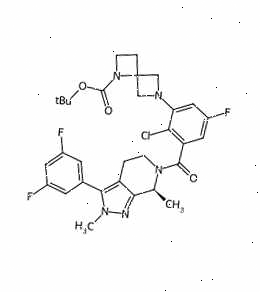 C[C@H]1c2nn(C)c(-c3cc(F)cc(F)c3)c2CCN1C(=O)c1cc(F)cc(N2CC3(CCN3C(=O)OC(C)(C)C)C2)c1Cl